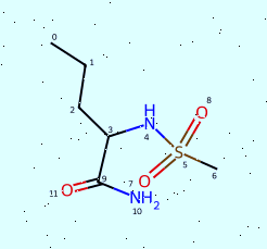 CCCC(NS(C)(=O)=O)C(N)=O